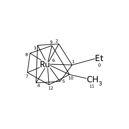 CC[C]12[CH]3[CH]4[CH]5[CH]1[Ru]45321678[CH]2[CH]1[CH]6[C]7(C)[CH]28